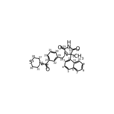 CC1(c2cccc3ccccc23)C(=O)NC(=O)N1Cc1cccc(C(=O)N2CCSCC2)c1